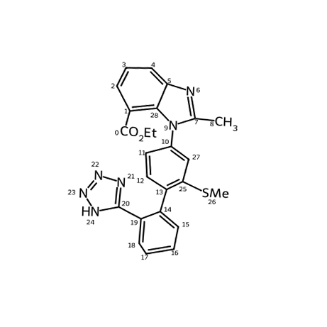 CCOC(=O)c1cccc2nc(C)n(-c3ccc(-c4ccccc4-c4nnn[nH]4)c(SC)c3)c12